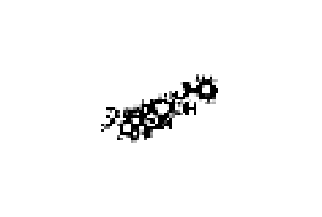 CC(=O)[C@H]1CC[C@H]2[C@@H]3CC[C@@H]4C[C@@](O)(CCCc5ccccc5)CC[C@]4(C)[C@H]3CC[C@]12C